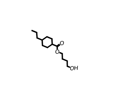 CCCC1CCC(C(=O)OCCCCO)CC1